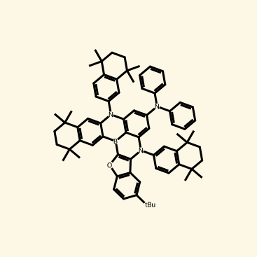 CC(C)(C)c1ccc2oc3c(c2c1)N(c1ccc2c(c1)C(C)(C)CCC2(C)C)c1cc(N(c2ccccc2)c2ccccc2)cc2c1B3c1cc3c(cc1N2c1ccc2c(c1)C(C)(C)CCC2(C)C)C(C)(C)CCC3(C)C